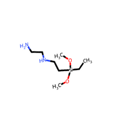 CC[Si](CCNCCN)(OC)OC